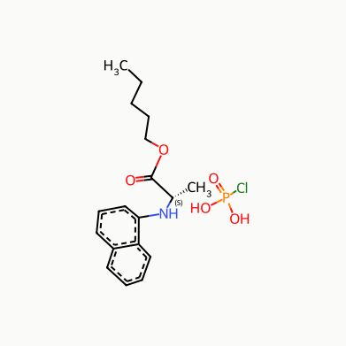 CCCCCOC(=O)[C@H](C)Nc1cccc2ccccc12.O=P(O)(O)Cl